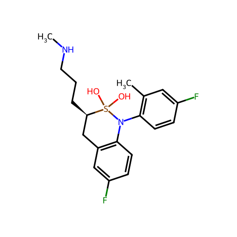 CNCCC[C@@H]1Cc2cc(F)ccc2N(c2ccc(F)cc2C)S1(O)O